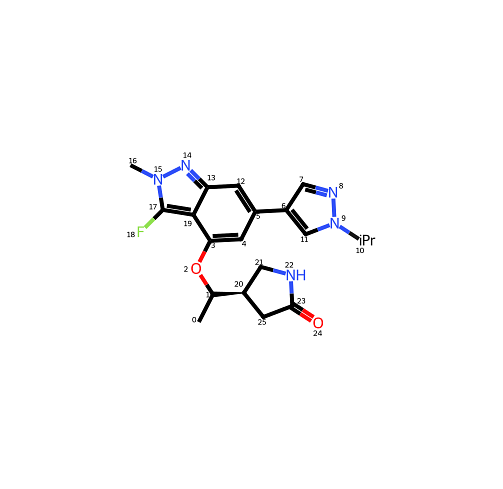 CC(Oc1cc(-c2cnn(C(C)C)c2)cc2nn(C)c(F)c12)[C@H]1CNC(=O)C1